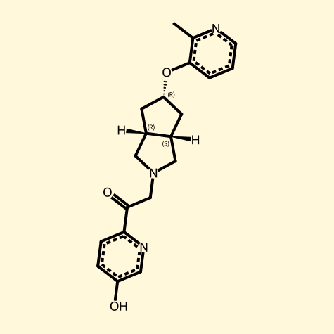 Cc1ncccc1O[C@@H]1C[C@@H]2CN(CC(=O)c3ccc(O)cn3)C[C@@H]2C1